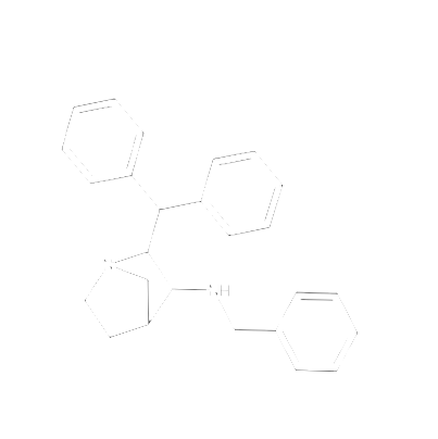 c1ccc(CNC2C3CCN(C3)C2C(c2ccccc2)c2ccccc2)cc1